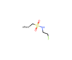 CCCCCCS(=O)(=O)NCCF